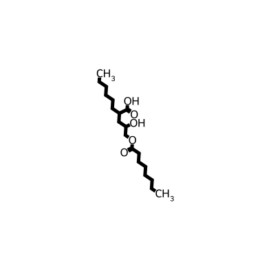 CCCCCCCC(=O)OCC(O)CC(CCCCCC)C(=O)O